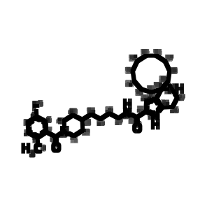 Cc1ccc(F)cc1C(=O)N1CCC(CCCCNC(=O)c2cc3c([nH]2)CCNC32CCCCCCCCCC2)CC1